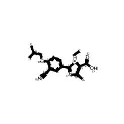 CC[SH]1C(c2ccc(OCC(C)C)c(C#N)c2)=NC(C)=C1C(=O)O